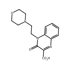 O=C(O)c1nc2ccccc2n(CCN2CCOCC2)c1=O